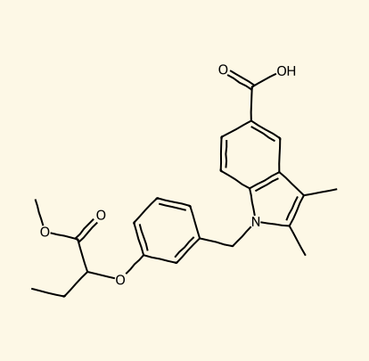 CCC(Oc1cccc(Cn2c(C)c(C)c3cc(C(=O)O)ccc32)c1)C(=O)OC